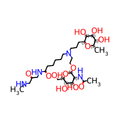 CNCC(=O)CNC(=O)CCCCCN(CCC[C@@H]1O[C@@H](C)[C@@H](O)[C@@H](O)[C@@H]1O)CCO[C@@H]1O[C@H](CO)[C@@H](O)[C@H](O)[C@H]1NC(C)=O